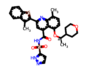 Cc1c(-c2cc(C(=O)NS(=O)(=O)c3ccn[nH]3)c3c(O[C@H](C)C4CCOCC4)ccc(C)c3n2)sc2ccccc12